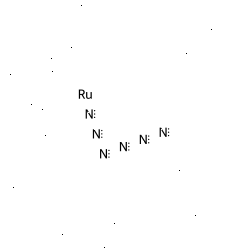 [N].[N].[N].[N].[N].[N].[Ru]